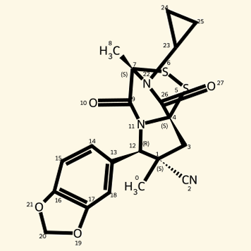 C[C@]1(C#N)C[C@@]23SS[C@@](C)(C(=O)N2[C@@H]1c1ccc2c(c1)OCO2)N(C1CC1)C3=O